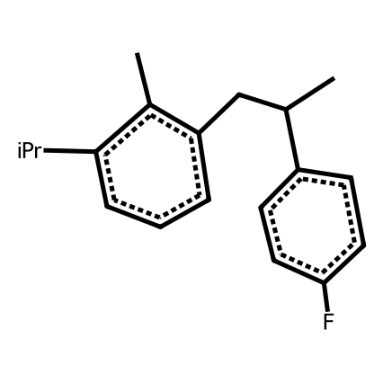 Cc1c(CC(C)c2ccc(F)cc2)cccc1C(C)C